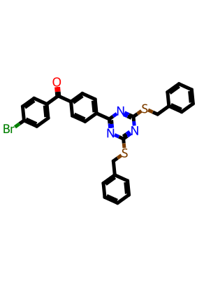 O=C(c1ccc(Br)cc1)c1ccc(-c2nc(SCc3ccccc3)nc(SCc3ccccc3)n2)cc1